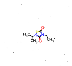 CCn1c(=O)sn(C(C)C)c1=O